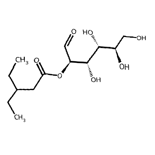 CCC(CC)CC(=O)O[C@@H](C=O)[C@@H](O)[C@H](O)[C@H](O)CO